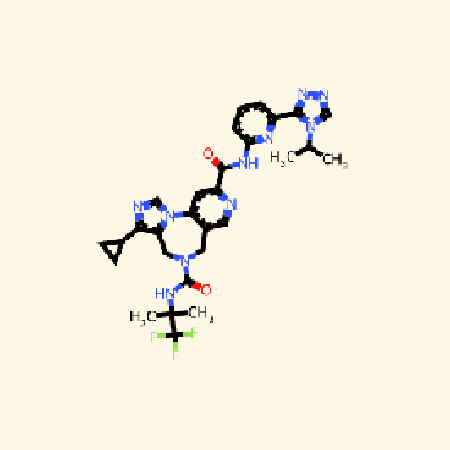 CC(C)n1cnnc1-c1cccc(NC(=O)c2cc3c(cn2)CN(C(=O)NC(C)(C)C(F)(F)F)Cc2c(C4CC4)ncn2-3)n1